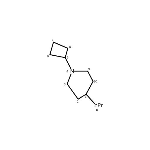 CCCC1CCN(C2CCC2)CC1